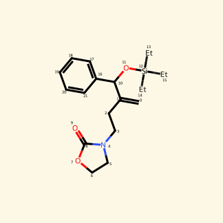 C=C(CCN1CCOC1=O)C(O[Si](CC)(CC)CC)c1ccccc1